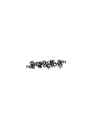 Cc1c(COc2ccc(CN3CCCC[C@H]3C(=O)O)cc2C(F)(F)F)cccc1-c1cccc(COc2ccc(CN3CCCC[C@H]3C(=O)O)cc2C(F)(F)F)c1C